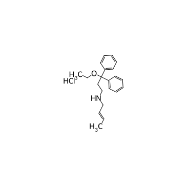 CC=CCNCCC(OCC)(c1ccccc1)c1ccccc1.Cl